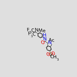 CNC(c1ccc(NC(=O)C2c3ccc(S(C)(=O)=O)cc3CN2C(C)=O)cc1)(C(F)(F)F)C(F)(F)F